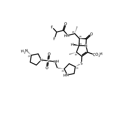 C[C@@H](NC(=O)C(F)F)[C@H]1C(=O)N2C(C(=O)O)=C(S[C@@H]3CN[C@H](CNS(=O)(=O)N4CC[C@H](N)C4)C3)[C@H](C)[C@H]12